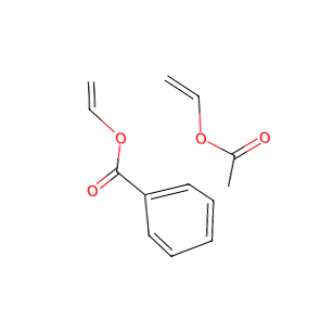 C=COC(=O)c1ccccc1.C=COC(C)=O